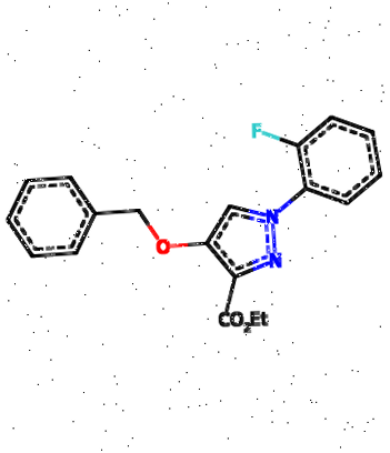 CCOC(=O)c1nn(-c2ccccc2F)cc1OCc1ccccc1